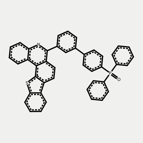 O=P(c1ccccc1)(c1ccccc1)c1ccc(-c2cccc(-c3nc4ccccc4c4c3ccc3c5ccccc5sc34)c2)cc1